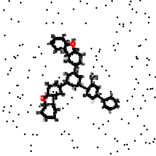 N#Cc1cc(-c2ccccc2)ccc1-c1cc(-c2ccc3oc4ccccc4c3c2)cc(-c2ccc3oc4ccccc4c3c2)c1